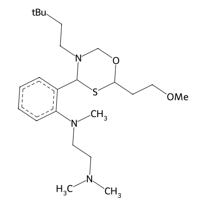 COCCC1OCN(CCC(C)(C)C)C(c2ccccc2N(C)CCN(C)C)S1